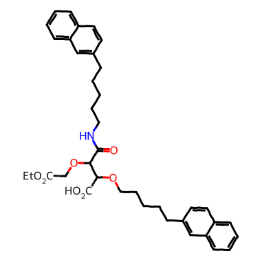 CCOC(=O)COC(C(=O)NCCCCCc1ccc2ccccc2c1)C(OCCCCCc1ccc2ccccc2c1)C(=O)O